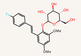 COc1cc(/C=C/c2ccc(F)cc2)c(OC2O[C@H](CO)[C@@H](O)[C@H](O)[C@H]2O)c(OC)c1